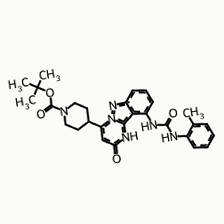 Cc1ccccc1NC(=O)Nc1cccc2nn3c(C4CCN(C(=O)OC(C)(C)C)CC4)cc(=O)[nH]c3c12